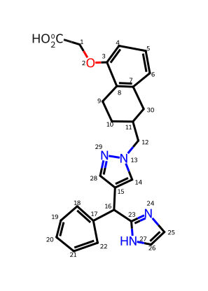 O=C(O)COc1cccc2c1CCC(Cn1cc(C(c3ccccc3)c3ncc[nH]3)cn1)C2